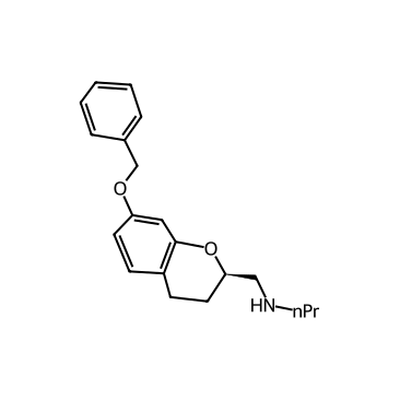 CCCNC[C@H]1CCc2ccc(OCc3ccccc3)cc2O1